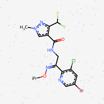 CC(C)O/N=C(/CNC(=O)c1cn(C)nc1C(F)F)c1ncc(Br)cc1Cl